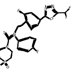 O=C(N1CCS(=O)(=O)CC1)N(Cc1ccc(-c2nnc(C(F)F)o2)cc1F)c1ccc(F)cc1